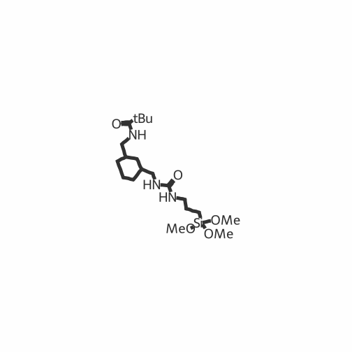 CO[Si](CCCNC(=O)NCC1CCCC(CNC(=O)C(C)(C)C)C1)(OC)OC